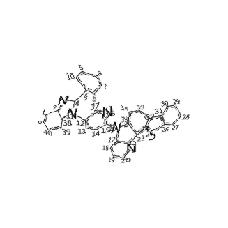 C1=CC2=NC(c3ccccc3)N(c3ccc(-n4c5cccnc5c5c6sc7ccccc7c6ccc54)nc3)C2C=C1